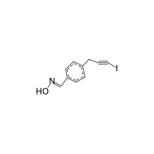 ON=Cc1ccc(CC#CI)cc1